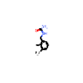 Cc1c(CNC(N)=O)cccc1C(F)(F)F